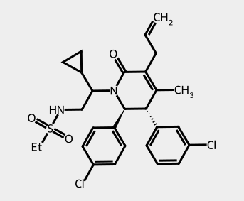 C=CCC1=C(C)[C@H](c2cccc(Cl)c2)[C@@H](c2ccc(Cl)cc2)N(C(CNS(=O)(=O)CC)C2CC2)C1=O